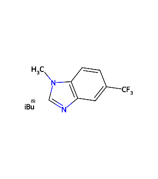 CC[C@H](C)c1nc2cc(C(F)(F)F)ccc2n1C